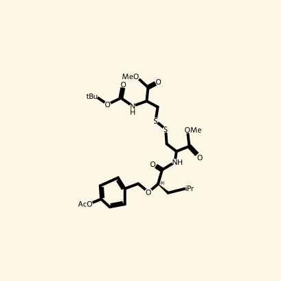 COC(=O)C(CSSCC(NC(=O)[C@@H](CC(C)C)OCc1ccc(OC(C)=O)cc1)C(=O)OC)NC(=O)OC(C)(C)C